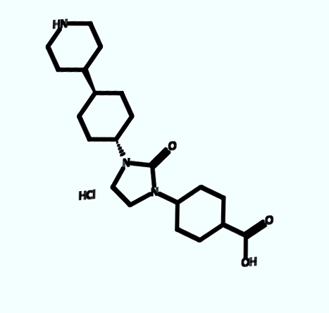 Cl.O=C(O)C1CCC(N2CCN([C@H]3CC[C@H](C4CCNCC4)CC3)C2=O)CC1